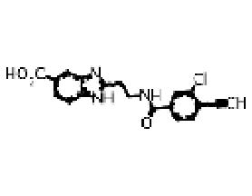 C#Cc1ccc(C(=O)NCCc2nc3cc(C(=O)O)ccc3[nH]2)cc1Cl